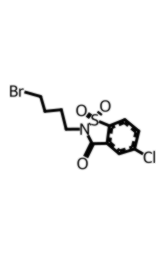 O=C1c2cc(Cl)ccc2S(=O)(=O)N1CCCCBr